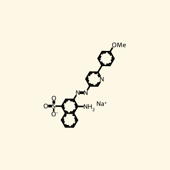 COc1ccc(-c2ccc(N=Nc3cc(S(=O)(=O)[O-])c4ccccc4c3N)cn2)cc1.[Na+]